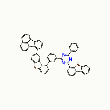 c1ccc(-c2nc(-c3cccc(-c4cccc5sc6ccc(-c7cccc8c7-c7cccc9cccc-8c79)cc6c45)c3)nc(-c3cccc4c3sc3ccccc34)n2)cc1